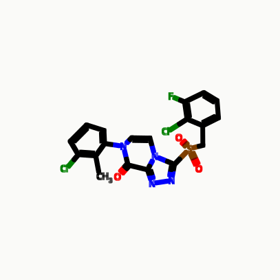 Cc1c(Cl)cccc1-n1ccn2c(S(=O)(=O)Cc3cccc(F)c3Cl)nnc2c1=O